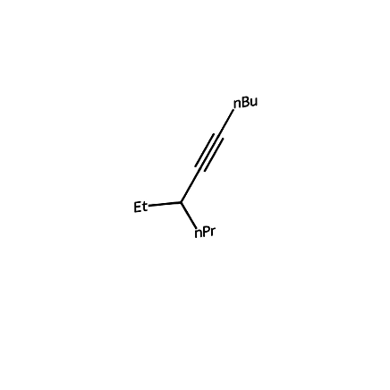 [CH2]CCCC#CC(CC)CCC